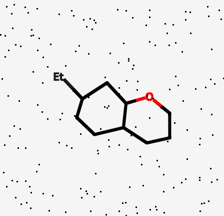 CCC1CCC2CCCOC2C1